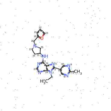 CCn1c(-c2cnc(C)nc2)nc2c(NC3CCN(Cc4ccco4)C3)ncnc21